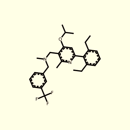 CCc1cccc(CC)c1-c1cc(OC(C)C)c(CN(C)Cc2cccc(C(F)(F)F)c2)c(C)n1